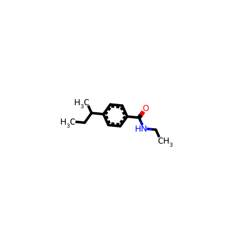 CCNC(=O)c1ccc(C(C)CC)cc1